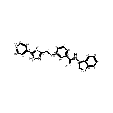 O=C(N[C@@H]1COc2ccccc21)c1cccc(NCc2n[nH]c(-c3ccncc3)n2)c1